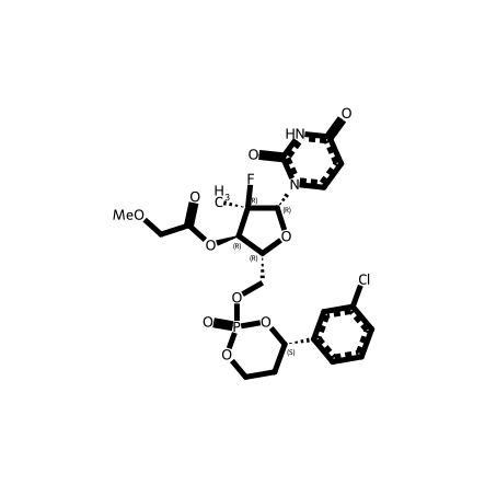 COCC(=O)O[C@@H]1[C@@H](COP2(=O)OCC[C@@H](c3cccc(Cl)c3)O2)O[C@@H](n2ccc(=O)[nH]c2=O)[C@]1(C)F